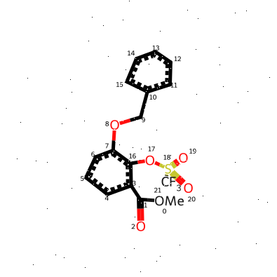 COC(=O)c1cccc(OCc2ccccc2)c1OS(=O)(=O)C(F)(F)F